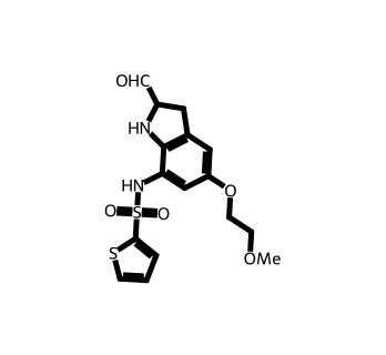 COCCOc1cc2c(c(NS(=O)(=O)c3cccs3)c1)NC(C=O)C2